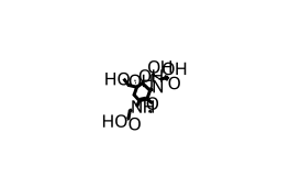 COC1=C(NCC(=O)O)C[C@@](O)(CO)[C@@H](O)/C1=N\[C@@H](CO)C(=O)O